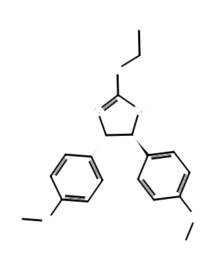 CCSC1=N[C@@H](c2ccc(OC)cc2)[C@H](c2ccc(OC)cc2)N1